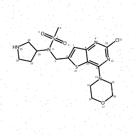 CS(=O)(=O)N(Cc1cc2nc(Cl)nc(N3CCOCC3)c2s1)C1CCNC1